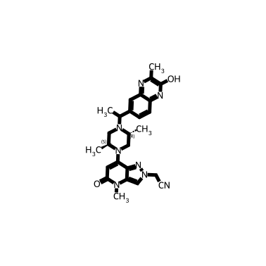 Cc1nc2cc(C(C)N3C[C@H](C)N(c4cc(=O)n(C)c5cn(CC#N)nc45)C[C@H]3C)ccc2nc1O